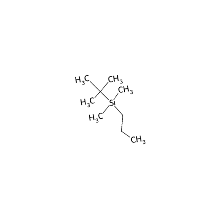 CCC[Si](C)(C)C(C)(C)C